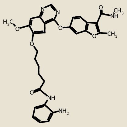 CNC(=O)c1c(C)oc2cc(Oc3ncnc4cc(OC)c(OCCCCCC(=O)Nc5ccccc5N)cc34)ccc12